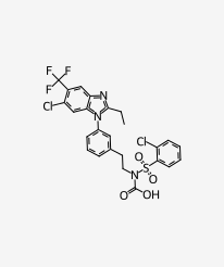 CCc1nc2cc(C(F)(F)F)c(Cl)cc2n1-c1cccc(CCN(C(=O)O)S(=O)(=O)c2ccccc2Cl)c1